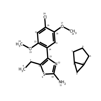 C1CC2CC2C1.CCc1sc(N)nc1-c1cc(OC)c(Cl)cc1OC